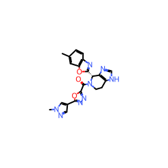 Cc1ccc2nc([C@@H]3c4nc[nH]c4CCN3C(=O)c3nnc(-c4cnn(C)c4)o3)oc2c1